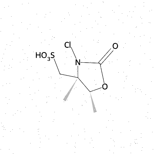 C[C@H]1OC(=O)N(Cl)[C@]1(C)CS(=O)(=O)O